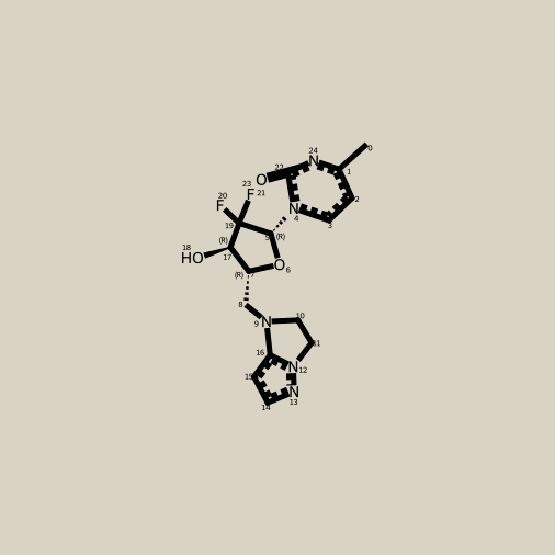 Cc1ccn([C@@H]2O[C@H](CN3CCn4nccc43)[C@@H](O)C2(F)F)c(=O)n1